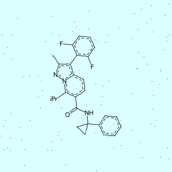 Cc1nn2c(C(C)C)c(C(=O)NC3(c4ccccc4)CC3)ccc2c1-c1c(F)cccc1F